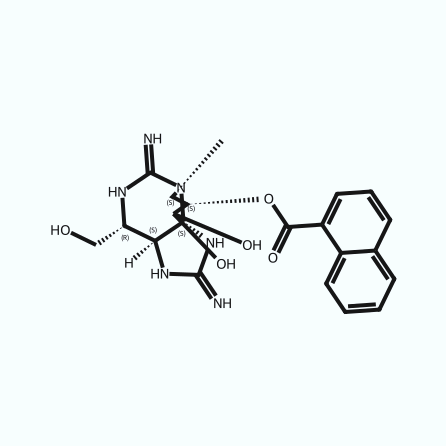 C[C@H]1[C@H](OC(=O)c2cccc3ccccc23)C(O)(O)[C@]23NC(=N)N[C@H]2[C@H](CO)NC(=N)N13